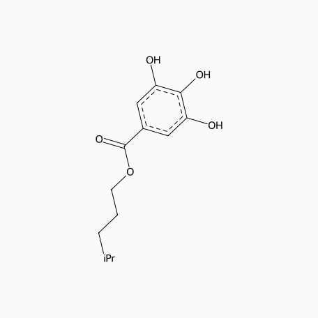 CC(C)CCCOC(=O)c1cc(O)c(O)c(O)c1